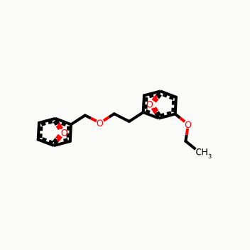 CCOc1cc2cc(CCOCc3cc4ccc3o4)c1o2